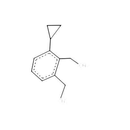 CCc1[c]ccc(C2CC2)c1CC